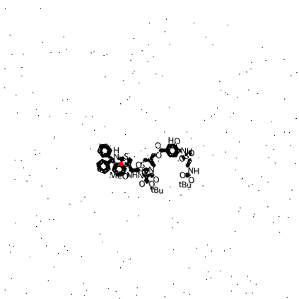 CON=C(C(=O)NC1(C(=O)OC(C)(C)C)C(=O)N2C=C(COC(=O)c3ccc(NS(=O)(=O)CCNC(=O)OC(C)(C)C)c(O)c3)CS[C@H]21)c1csc(NC(c2ccccc2)(c2ccccc2)c2ccccc2)n1